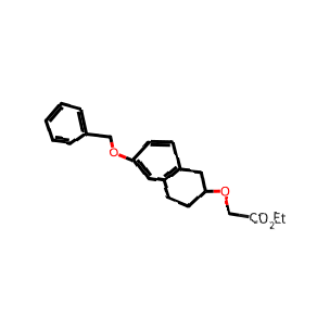 CCOC(=O)COC1CCc2cc(OCc3ccccc3)ccc2C1